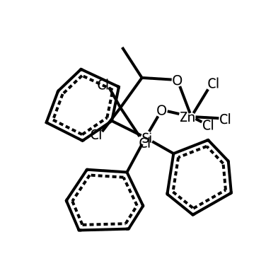 CC([O][Zn]([Cl])([Cl])([Cl])[O][Si](c1ccccc1)(c1ccccc1)c1ccccc1)C(Cl)(Cl)Cl